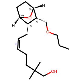 CCCOC[C@@H]1[C@H](C/C=C\CCC(C)(C)CO)[C@@H]2CC[C@H]1O2